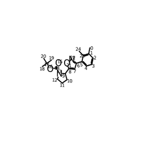 Cc1cccc(-c2cc(C3CCCN3C(=O)OC(C)(C)C)on2)c1C